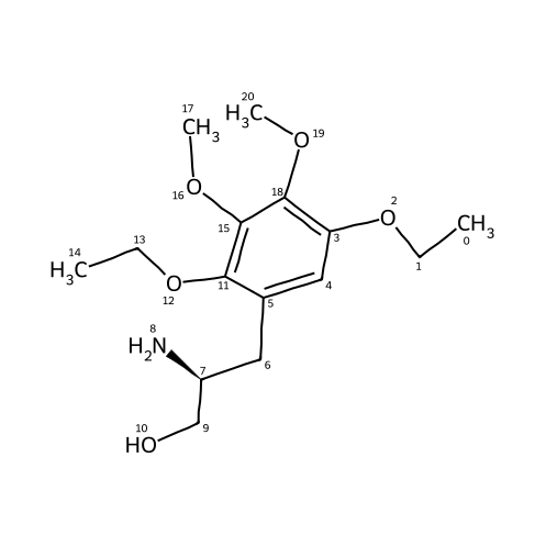 CCOc1cc(C[C@H](N)CO)c(OCC)c(OC)c1OC